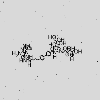 N=C(NCCCCc1ccc(-c2ccc(C(=O)NCCN(C[C@H](O)[C@@H](O)[C@H](O)[C@H](O)CO)C[C@H](O)[C@@H](O)[C@H](O)[C@H](O)CO)cc2)cc1)NC(=O)c1nc(Cl)c(N)nc1N